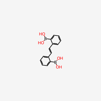 OB(O)c1ccccc1C=Cc1ccccc1B(O)O